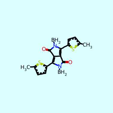 BN1C(=O)C2=C(c3ccc(C)s3)N(B)C(=O)C2=C1c1ccc(C)s1